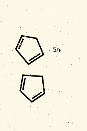 C1=CCC=C1.C1=CCC=C1.[Sn]